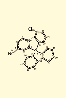 N#Cc1ccnc([P+](c2ccccc2)(c2ccccc2)c2ccccc2)c1.[Cl-]